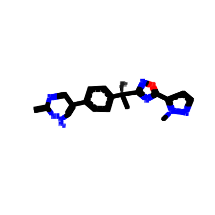 C=C(N)/N=C\C(=C/N)c1ccc([C@](C)(c2noc(-c3ccnn3C)n2)C(C)C)cc1